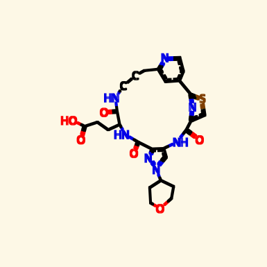 O=C(O)CCC1NC(=O)c2nn(C3CCOCC3)cc2NC(=O)c2csc(n2)-c2ccnc(c2)CCCNC1=O